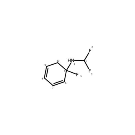 FC(F)NC1(F)C=CC=CC1